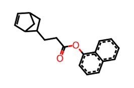 O=C(CCC1CC2C=CC1C2)Oc1cccc2ccccc12